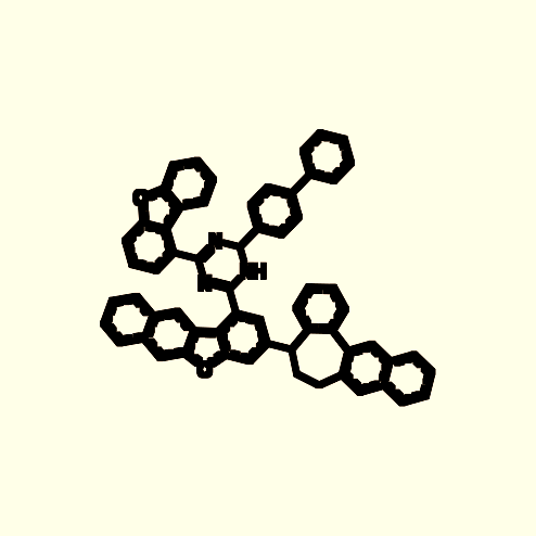 c1ccc(-c2ccc(C3N=C(c4cccc5oc6ccccc6c45)N=C(c4cc(C5CCc6cc7ccccc7cc6-c6ccccc65)cc5oc6cc7ccccc7cc6c45)N3)cc2)cc1